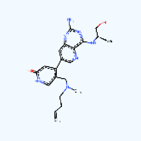 C=CCCN(C)Cc1c[nH]c(=O)cc1-c1cnc2c(N[C@@H](CO)CCCC)nc(N)nc2c1